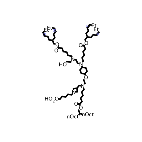 CC/C=C\CCC(CC/C=C\CC)COC(=O)CCCCCN(CCO)CCN(CCCCCC(=O)OCC(CC/C=C\CC)CC/C=C\CC)C1CCC(OCCN(CCCCCC(=O)OCC(CCCCCCCC)CCCCCCCC)CC2CN(CCCCCC(=O)O)C2)CC1